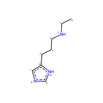 CCNCCCc1cnc[nH]1